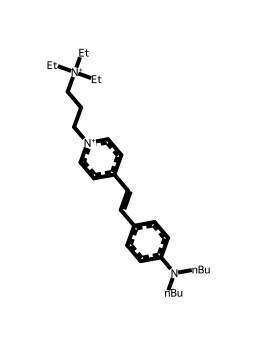 CCCCN(CCCC)c1ccc(C=Cc2cc[n+](CCC[N+](CC)(CC)CC)cc2)cc1